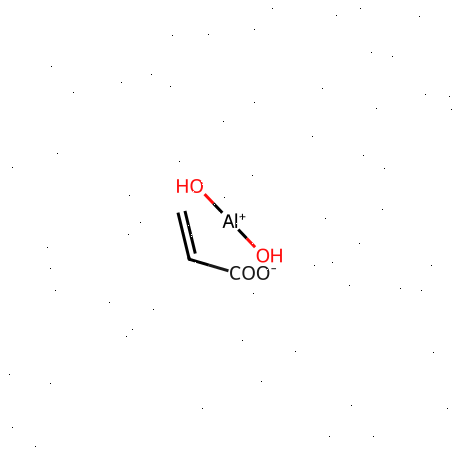 C=CC(=O)[O-].[OH][Al+][OH]